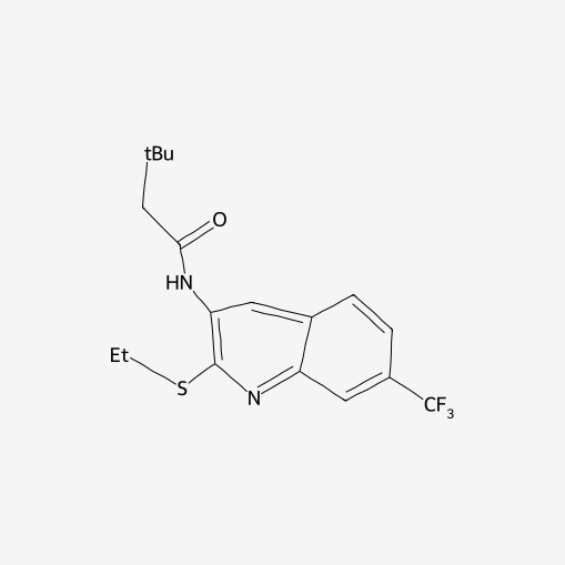 CCSc1nc2cc(C(F)(F)F)ccc2cc1NC(=O)CC(C)(C)C